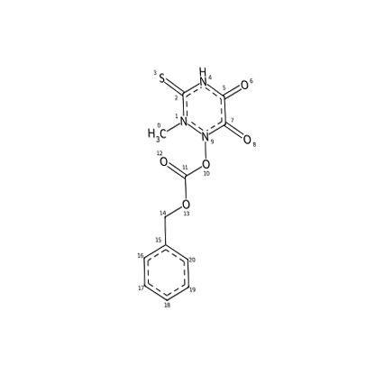 Cn1c(=S)[nH]c(=O)c(=O)n1OC(=O)OCc1ccccc1